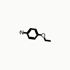 CCOc1ccc([N])cc1